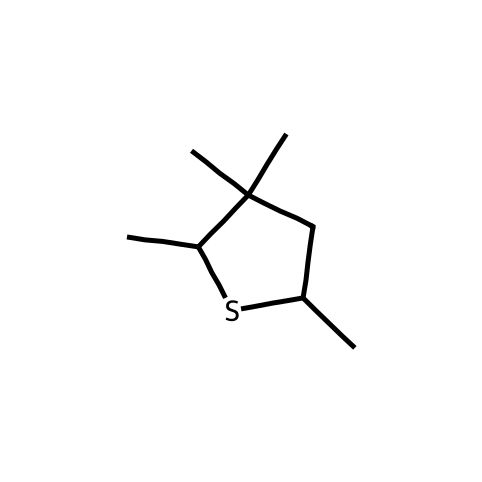 CC1CC(C)(C)C(C)S1